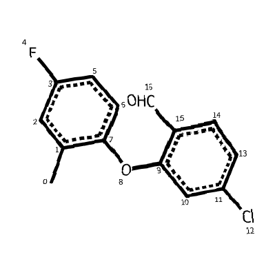 Cc1cc(F)ccc1Oc1cc(Cl)ccc1C=O